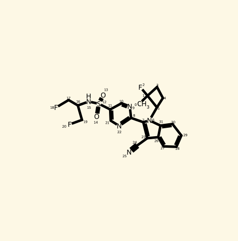 CC1(F)CCC1n1c(-c2ncc(S(=O)(=O)NC(CF)CF)cn2)c(C#N)c2ccccc21